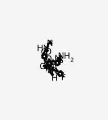 C#CCN(C(=O)NCc1ccc(F)cc1)N1CC(=O)N2[C@@H](Cc3ccc(OC(=O)NCCN(C)C)cc3)C(=O)N(Cc3cccc4sc(N)nc34)C[C@@H]21